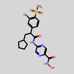 CS(=O)(=O)c1ccc(C(CC2CCCC2)C(=O)Nc2cnc(C(=O)NO)cn2)cc1Cl